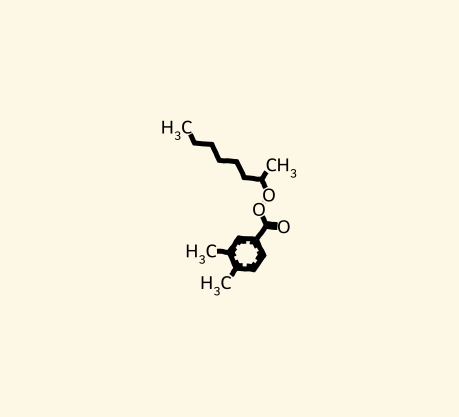 CCCCCC[C](C)OOC(=O)c1ccc(C)c(C)c1